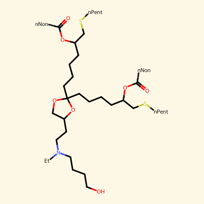 CCCCCCCCCC(=O)OC(CCCCC1(CCCCC(CSCCCCC)OC(=O)CCCCCCCCC)OCC(CCN(CC)CCCCO)O1)CSCCCCC